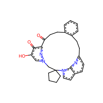 O=C1CCc2ccccc2CCc2ccc3ccn(c3n2)C2(CCCC2)Cn2cc(O)c(=O)c1n2